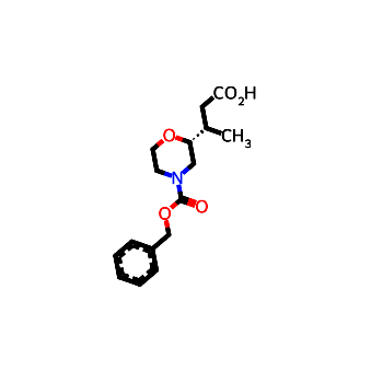 CC(CC(=O)O)[C@@H]1CN(C(=O)OCc2ccccc2)CCO1